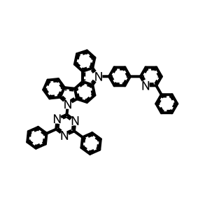 c1ccc(-c2cccc(-c3ccc(-n4c5ccccc5c5c6c7ccccc7n(-c7nc(-c8ccccc8)nc(-c8ccccc8)n7)c6ccc54)cc3)n2)cc1